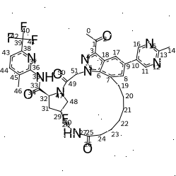 CC(=O)c1nn2c3c(cc(-c4cnc(C)nc4)cc13)CCCCCCC(=O)NC[C@@]1(F)C[C@@H](C(=O)Nc3nc(C(F)(F)F)ccc3C)N(C1)C(=O)C2